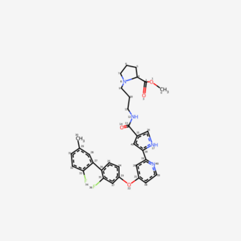 COC(=O)C1CCCN1CCCNC(=O)c1c[nH]c(-c2cc(Oc3ccc(-c4cc(C)ccc4F)c(F)c3)ccn2)c1